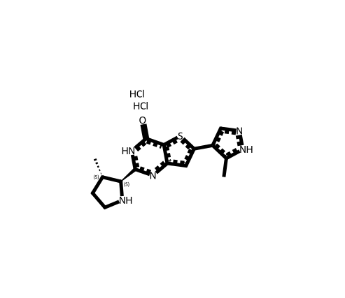 Cc1[nH]ncc1-c1cc2nc([C@H]3NCC[C@@H]3C)[nH]c(=O)c2s1.Cl.Cl